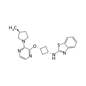 C[C@H]1CCN(c2nccnc2O[C@H]2C[C@@H](Nc3nc4ccccc4s3)C2)C1